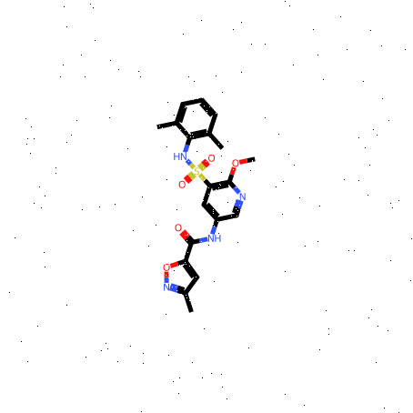 COc1ncc(NC(=O)c2cc(C)no2)cc1S(=O)(=O)Nc1c(C)cccc1C